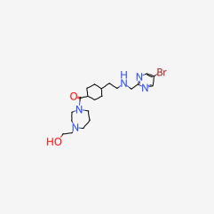 O=C(C1CCC(CCNCc2ncc(Br)cn2)CC1)N1CCCN(CCO)CC1